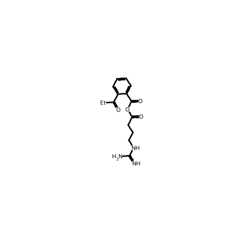 CCC(=O)c1ccccc1C(=O)OC(=O)CCCNC(=N)N